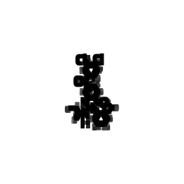 CCC(C)Nc1nc2c(c(=O)n1-c1ccccc1OC)CCN(C(=O)c1ccc(Cl)c(Cl)c1)C2